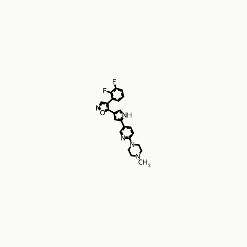 CN1CCN(c2ccc(-c3cc(-c4oncc4-c4cccc(F)c4F)c[nH]3)cn2)CC1